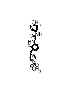 COC(=O)N1CCN(Cc2cccc(NCC(=O)Nc3ccc(C)nc3)c2F)CC1